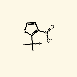 O=[N+]([O-])c1ccsc1C(F)(F)F